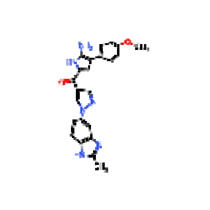 COc1ccc(-c2cc(C(=O)c3cnn(-c4ccc5[nH]c(C)nc5c4)c3)[nH]c2N)cc1